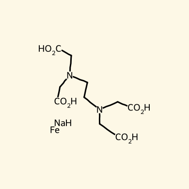 O=C(O)CN(CCN(CC(=O)O)CC(=O)O)CC(=O)O.[Fe].[NaH]